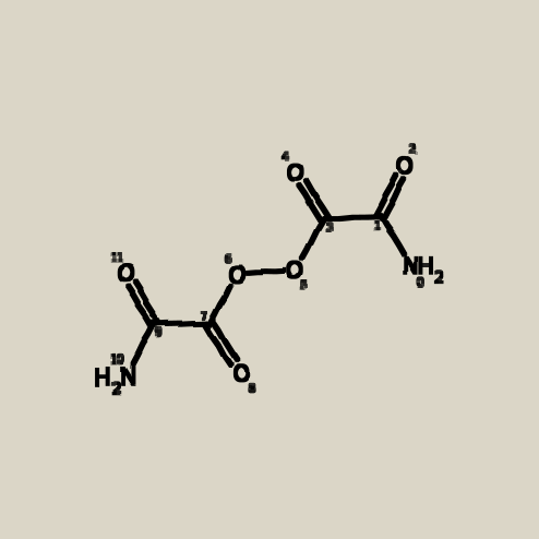 NC(=O)C(=O)OOC(=O)C(N)=O